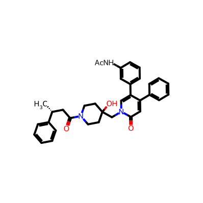 CC(=O)Nc1cccc(-c2cn(CC3(O)CCN(C(=O)C[C@@H](C)c4ccccc4)CC3)c(=O)cc2-c2ccccc2)c1